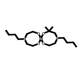 CCCCN1CC[O][Sn]2([O]CC1)[O]CCN(CCCC)CC(C)(C)[O]2